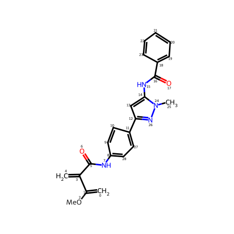 C=C(OC)C(=C)C(=O)Nc1ccc(-c2cc(NC(=O)c3ccccc3)n(C)n2)cc1